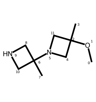 COC1(C)CN(C2(C)CNC2)C1